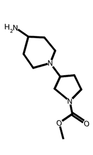 COC(=O)N1CCC(N2CCC(N)CC2)C1